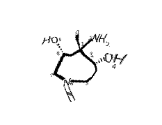 C[C@@]1(N)[C@H](O)CNC[C@@H]1O